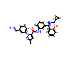 Cc1cc(C(=O)Nc2cc(C(NCC3CC3)c3ccccc3O)ccc2F)n(-c2cccc(CN)c2)n1